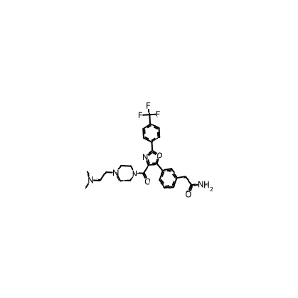 CN(C)CCN1CCN(C(=O)c2nc(-c3ccc(C(F)(F)F)cc3)oc2-c2cccc(CC(N)=O)c2)CC1